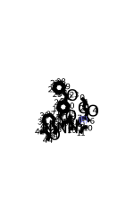 CCOC(=O)/C(C)=C/[C@H](C(C)C)N(C)C(=O)[C@H](Cc1ccc(C(=O)c2ccccc2)cc1)NC(=O)C1CCCCN1C(C)CC